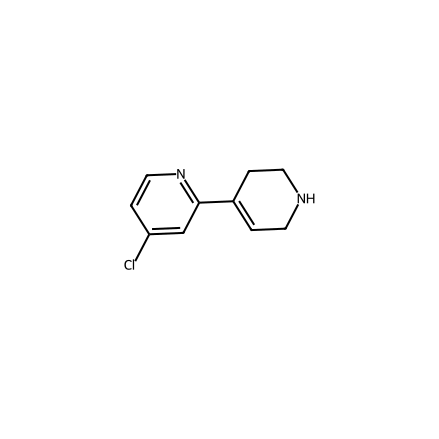 Clc1ccnc(C2=CCNCC2)c1